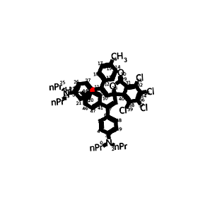 CCCN(CCC)c1ccc(/C(=C/C2(/C=C(\c3ccc(C)cc3)c3ccc(N(CCC)CCC)cc3)OC(=O)c3c(Cl)c(Cl)c(Cl)c(Cl)c32)c2ccc(C)cc2)cc1